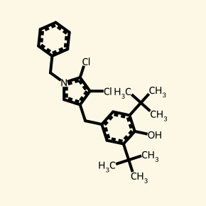 CC(C)(C)c1cc(Cc2cn(Cc3ccccc3)c(Cl)c2Cl)cc(C(C)(C)C)c1O